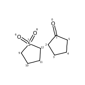 O=C1CCCC1.O=S1(=O)CCCC1